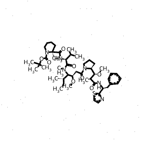 CC[C@H](C)C([C@@H](CC(=O)N1CCC[C@H]1[C@H](OC)[C@@H](C)C(=O)N[C@@H](Cc1ccccc1)c1nccs1)OC)N(C)C(=O)[C@@H](NC(=O)[C@]1(C)CCCCN1C(=O)OC(C)(C)C)C(C)C